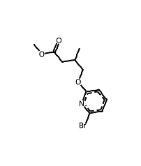 COC(=O)CC(C)COc1cccc(Br)n1